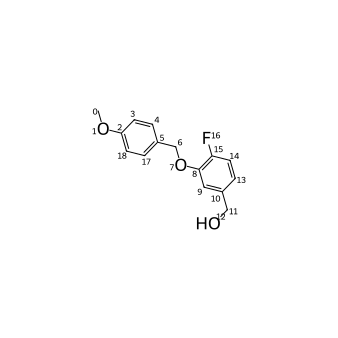 COc1ccc(COc2cc(CO)ccc2F)cc1